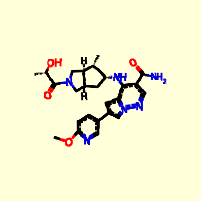 COc1ccc(-c2cc3c(N[C@@H]4C[C@@H]5CN(C(=O)[C@H](C)O)C[C@H]5[C@@H]4C)c(C(N)=O)cnn3c2)cn1